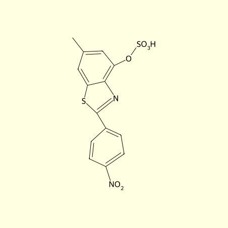 Cc1cc(OS(=O)(=O)O)c2nc(-c3ccc([N+](=O)[O-])cc3)sc2c1